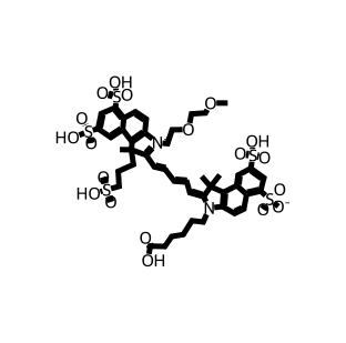 COCCOCC[N+]1=C(/C=C/C=C/C=C2/N(CCCCCC(=O)O)c3ccc4c(S(=O)(=O)[O-])cc(S(=O)(=O)O)cc4c3C2(C)C)C(C)(CCCS(=O)(=O)O)c2c1ccc1c(S(=O)(=O)O)cc(S(=O)(=O)O)cc21